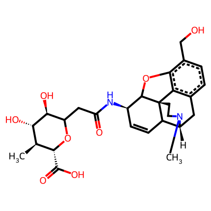 C[C@H]1[C@H](O)[C@@H](O)C(CC(=O)N[C@@H]2C=CC3[C@H]4Cc5ccc(CO)c6c5[C@@]3(CCN4C)C2O6)O[C@@H]1C(=O)O